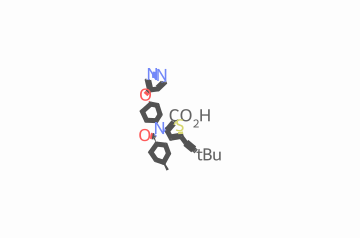 CC(C)(C)C#Cc1cc(N(C(=O)[C@H]2CC[C@H](C)CC2)[C@H]2CC[C@@H](Oc3ccnnc3)CC2)c(C(=O)O)s1